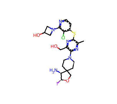 Cc1nc(N2CCC3(CC2)CO[C@@H](I)[C@H]3N)c(CO)nc1Sc1ccnc(N2CC(O)C2)c1Cl